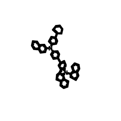 C1=CCCC(c2ccc(N(c3ccc(-c4ccc5c(c4)c4ccc6ccccc6c4n5-c4cccc5ccccc45)cc3)c3ccc4ccccc4c3)cc2)=C1